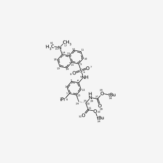 CC(C)c1ccc(NS(=O)(=O)c2cccc3c(N(C)C)cccc23)cc1C[C@H](NC(=O)OC(C)(C)C)C(=O)OC(C)(C)C